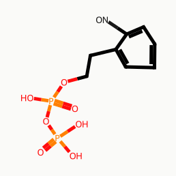 O=Nc1ccccc1CCOP(=O)(O)OP(=O)(O)O